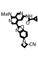 CNc1ncc(-c2nc3cc(N4CC[C@H]4C#N)ccc3o2)c2cc(NC(=O)C3CC3)ncc12